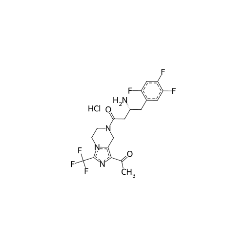 CC(=O)c1nc(C(F)(F)F)n2c1CN(C(=O)C[C@H](N)Cc1cc(F)c(F)cc1F)CC2.Cl